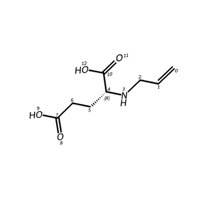 C=CCN[C@H](CCC(=O)O)C(=O)O